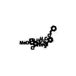 COC(=Cc1c(Cl)cc(C(=O)Nc2nc(-c3cccc(OCCC4CCCCC4)c3C)cs2)cc1Cl)C(=O)O